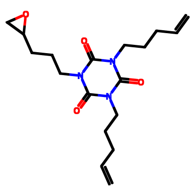 C=CCCCn1c(=O)n(CCCC=C)c(=O)n(CCCC2CO2)c1=O